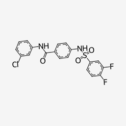 O=C(Nc1cccc(Cl)c1)c1ccc(NS(=O)(=O)c2ccc(F)c(F)c2)cc1